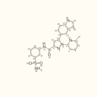 Cc1cccc(-n2nc(C(=O)Nc3cccc(S(N)(=O)=O)c3)cc2-c2ccc3ncsc3c2)n1